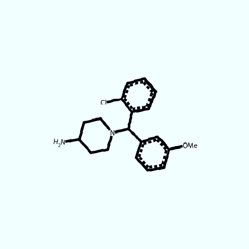 COc1cccc(C(c2ccccc2Cl)N2CCC(N)CC2)c1